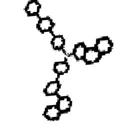 c1ccc(-c2ccc(-c3ccc(N(c4ccc(-c5cccc(-c6cccc7ccccc67)c5)cc4)c4ccc5c(ccc6ccccc65)c4)cc3)cc2)cc1